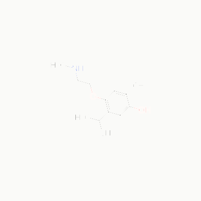 CNCCOc1cc(C)c(O)cc1C(C)C